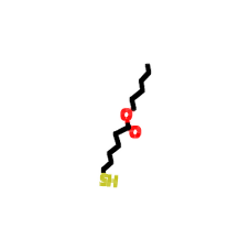 CCCCCCOC(=O)CCCCCS